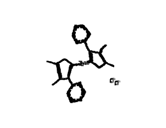 CC1=C(C)C(c2ccccc2)=[C]([Zr+2][C]2=C(c3ccccc3)C(C)=C(C)C2)C1.[Cl-].[Cl-]